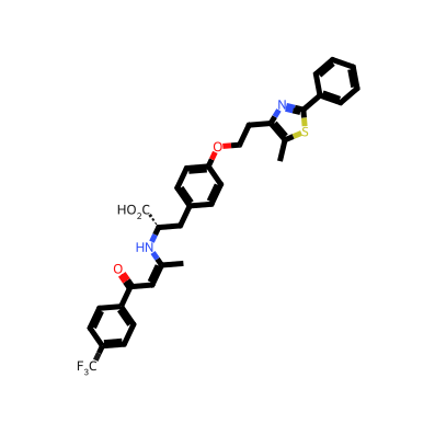 CC(=CC(=O)c1ccc(C(F)(F)F)cc1)N[C@@H](Cc1ccc(OCCc2nc(-c3ccccc3)sc2C)cc1)C(=O)O